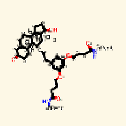 CCCCCNC(=O)CCCOc1cc(CCCC2C[C@]3(C)C(O)CC[C@H]3[C@@H]3CCC4CC(=O)CC[C@]4(C)[C@H]23)cc(OCCCC(=O)NCCCCC)c1